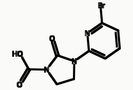 O=C(O)N1CCN(c2cccc(Br)n2)C1=O